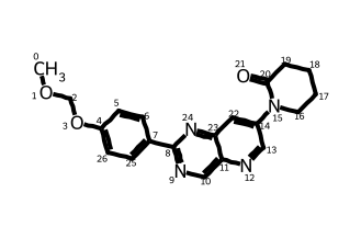 COCOc1ccc(-c2ncc3ncc(N4CCCCC4=O)cc3n2)cc1